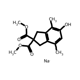 COC(=O)C1(C(=O)OC)Cc2c(C)cc(O)c(C)c2C1.[Na]